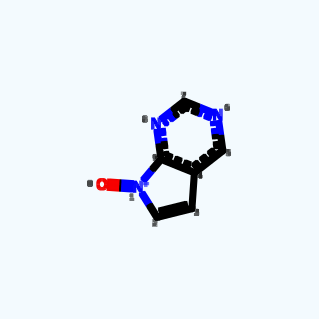 O=[N+]1C=Cc2cncnc21